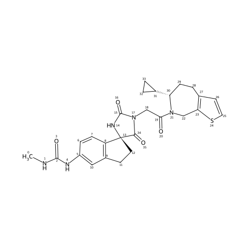 CNC(=O)Nc1ccc2c(c1)CC[C@]21NC(=O)N(CC(=O)N2Cc3sccc3CC[C@H]2C2CC2)C1=O